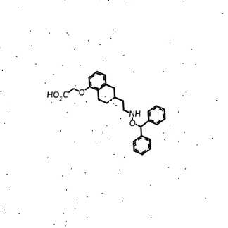 O=C(O)COc1cccc2c1CCC(CCNOC(c1ccccc1)c1ccccc1)C2